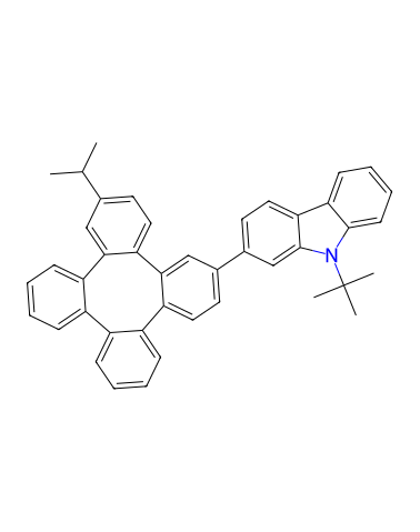 CC(C)c1ccc2c(c1)-c1ccccc1-c1ccccc1-c1ccc(-c3ccc4c5ccccc5n(C(C)(C)C)c4c3)cc1-2